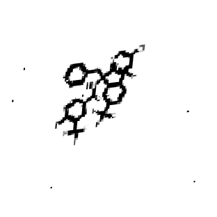 O=C(NC(Cc1ccccc1)(c1ccc(Cl)cn1)c1cc(C(F)(F)F)ccc1C(F)(F)F)c1ccc(F)c(C(F)(F)F)c1